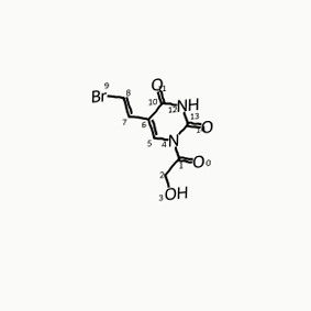 O=C(CO)n1cc(C=CBr)c(=O)[nH]c1=O